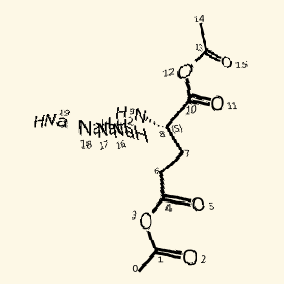 CC(=O)OC(=O)CC[C@H](N)C(=O)OC(C)=O.[NaH].[NaH].[NaH].[NaH]